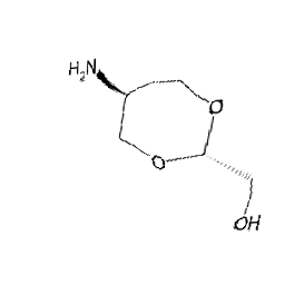 N[C@H]1CO[C@H](CO)OC1